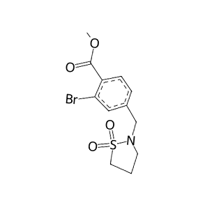 COC(=O)c1ccc(CN2CCCS2(=O)=O)cc1Br